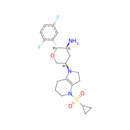 N[C@H]1C[C@@H](N2CCC3=C2CCCN3S(=O)(=O)C2CC2)CO[C@@H]1c1cc(F)ccc1F